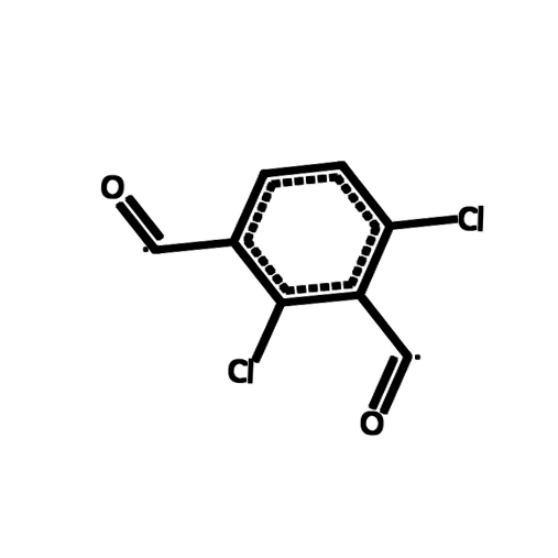 O=[C]c1ccc(Cl)c([C]=O)c1Cl